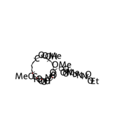 CCOCCC(=O)N1CCN(c2ccc3c(c2)CCN(C(=O)O[C@@H]2CC[C@@H](C[C@@H](C)[C@@H]4C[C@@H](OC)[C@H](C)/C=C(\C)[C@@H](O)[C@@H](OC)C(=O)[C@H](C)C[C@H](C)/C=C/C=C/C=C(\C)[C@@H](OC)C[C@@H]5CC[C@@H](C)[C@@](O)(O5)C(=O)C(=O)N5CCCC[C@H]5C(=O)O4)C[C@H]2OC)C3)CC1